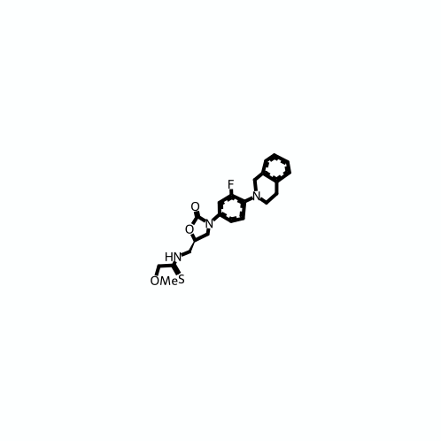 COCC(=S)NC[C@@H]1CN(c2ccc(N3CCc4ccccc4C3)c(F)c2)C(=O)O1